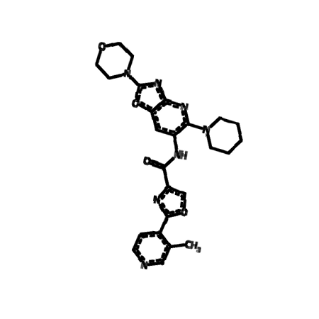 Cc1cnccc1-c1nc(C(=O)Nc2cc3oc(N4CCOCC4)nc3nc2N2CCCCC2)co1